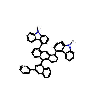 Cn1c2ccccc2c2c(-c3cccc4c(-c5cc(-c6ccccc6)cc6ccccc56)c5cccc(-c6cccc7c6c6ccccc6n7C)c5cc34)cccc21